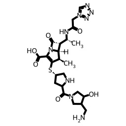 C[C@@H](NC(=O)Cn1cnnn1)[C@H]1C(=O)N2C(C(=O)O)=C(S[C@@H]3CNC(C(=O)N4CC(O)C(CN)C4)C3)[C@H](C)[C@H]12